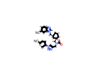 N#Cc1ccc(-n2cc(CN3C[C@@]4(CCC[C@H](Cn5cnc6ccc(C#N)cc65)C4)OC3=O)nn2)cc1